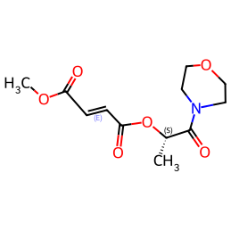 COC(=O)/C=C/C(=O)O[C@@H](C)C(=O)N1CCOCC1